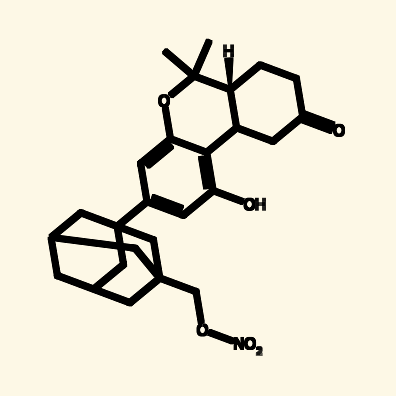 CC1(C)Oc2cc(C34CC5CC(CC(CO[N+](=O)[O-])(C5)C3)C4)cc(O)c2C2CC(=O)CC[C@H]21